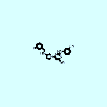 CCCc1cc(N2CCC(NCc3cccc(F)c3)C2)nc(Nc2cccc(C#N)c2)n1